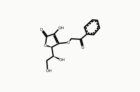 O=C1O[C@H]([C@@H](O)CO)C(OCC(=O)c2ccccc2)=C1O